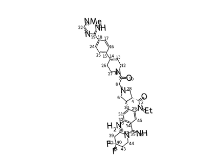 CCN(C(=O)[C@@H]1CCN(CC(=O)N2CC=C(c3ccc(C(=N)/N=C\NC)cc3)CC2)C1)c1ccc(N)c(C(=N)N2CCC(F)(F)CC2)c1